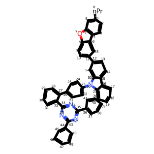 CCCc1ccc2c(c1)oc1ccc(-c3ccc4c5ccccc5n(-c5ccc(-c6ccccc6-c6nc(-c7ccccc7)nc(-c7ccccc7)n6)cc5)c4c3)cc12